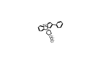 [Cl-].[Cl-].[Cl-].[Ti+3][C]1([Si]2(c3ccccc3)CCCC2)C=CC(c2ccccc2)=C1